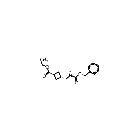 CCOC(=O)[C@H]1C[C@H](CNC(=O)OCc2ccccc2)C1